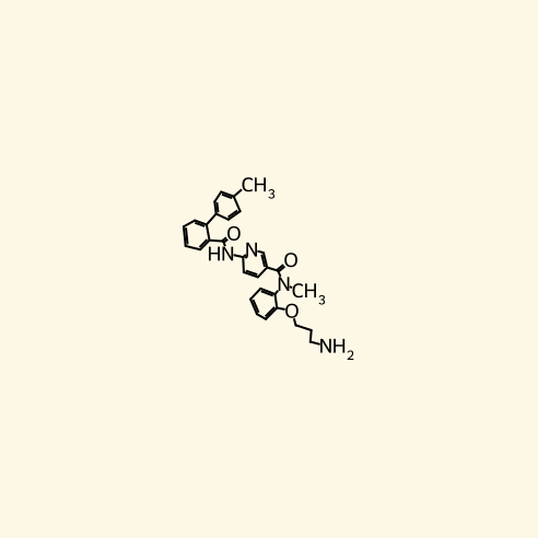 Cc1ccc(-c2ccccc2C(=O)Nc2ccc(C(=O)N(C)c3ccccc3OCCCN)cn2)cc1